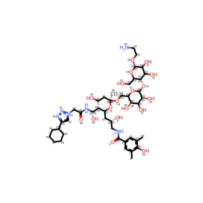 Cc1cc(C(=O)NC[C@@H](O)CC2O[C@@](OCC3OC(O[C@@H]4C(CO)O[C@@H](OCCN)C(O)C4O)[C@@H](O)C(O)[C@H]3O)(C(=O)O)CC(O)[C@H]2[C@H](O)NC(=O)Cn2cc(C3CCCCC3)nn2)cc(C)c1O